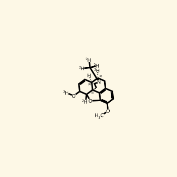 [2H]OC1C=C[C@H]2[C@@]3([2H])Cc4ccc(OC)c5c4[C@@]2(CCN3C([2H])([2H])[2H])C1([2H])O5